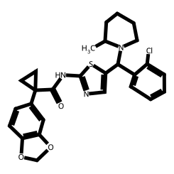 CC1CCCCN1C(c1cnc(NC(=O)C2(c3ccc4c(c3)OCO4)CC2)s1)c1ccccc1Cl